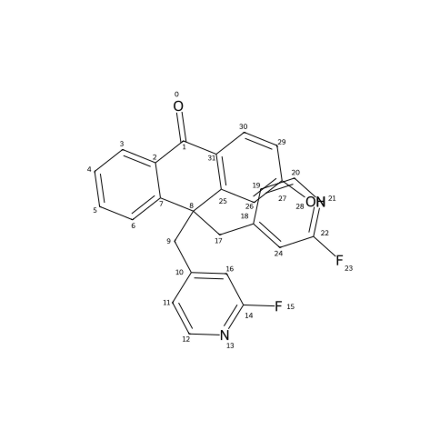 O=C1c2ccccc2C(Cc2ccnc(F)c2)(Cc2ccnc(F)c2)c2cc(O)ccc21